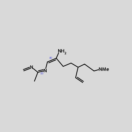 C=CC(CCNC)CC/C(N)=C\N=C(\C)N=C